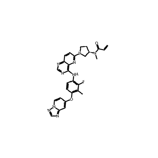 C=CC(=O)N(C)[C@@H]1CCN(c2ccc3ncnc(Nc4ccc(Oc5ccn6ncnc6c5)c(C)c4F)c3n2)C1